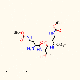 C[C@@H](O)[C@H](NC(=O)[C@@H](N)CCNC(=O)OC(C)(C)C)C(=O)N[C@@H](CCNC(=O)OC(C)(C)C)C(=O)O